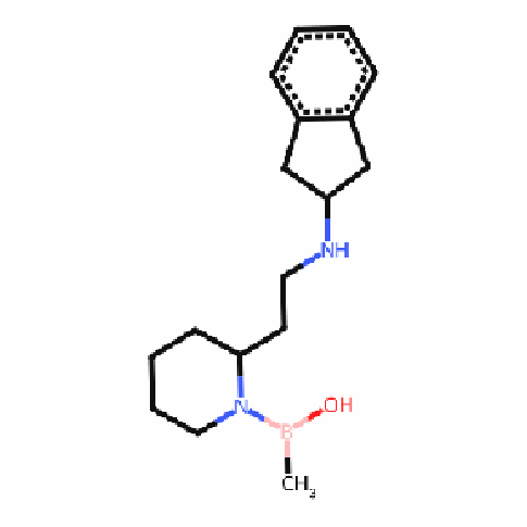 CB(O)N1CCCCC1CCNC1Cc2ccccc2C1